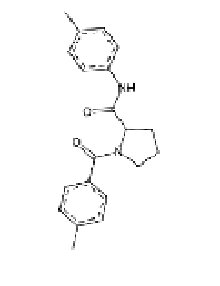 Cc1ccc(NC(=O)C2CCCN2C(=O)c2ccc(C)cc2)cc1